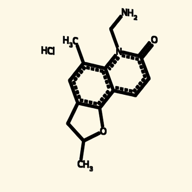 Cc1cc2c(c3ccc(=O)n(CN)c13)OC(C)C2.Cl